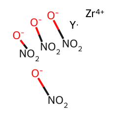 O=[N+]([O-])[O-].O=[N+]([O-])[O-].O=[N+]([O-])[O-].O=[N+]([O-])[O-].[Y].[Zr+4]